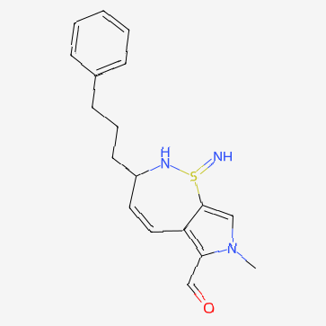 Cn1cc2c(c1C=O)C=CC(CCCc1ccccc1)NS2=N